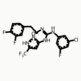 O=C(Cc1ccc(F)c(F)c1)/N=C(/Nc1cc(F)cc(Cl)c1)Nc1cc(C(F)(F)F)[nH]n1